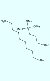 CCCCCCCCCCCCCCCCCC[SiH3].CCCCCCCCCCCCC[Si](OC)(OC)OC